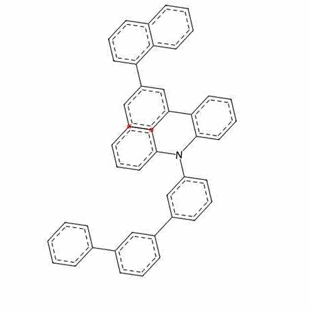 c1ccc(-c2cccc(-c3cccc(N(c4ccccc4)c4ccccc4-c4cccc(-c5cccc6ccccc56)c4)c3)c2)cc1